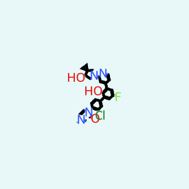 CN(C)/C=C\N(C=O)c1ccc(-c2cc(F)cc(-c3ccnc(N4CC(O)C5(CC5)C4)c3)c2O)cc1Cl